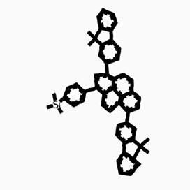 CC1(C)c2ccccc2-c2ccc(-c3ccc4ccc5c(-c6ccc7c(c6)C(C)(C)c6ccccc6-7)cc(-c6ccc([Si](C)(C)C)cc6)c6ccc3c4c65)cc21